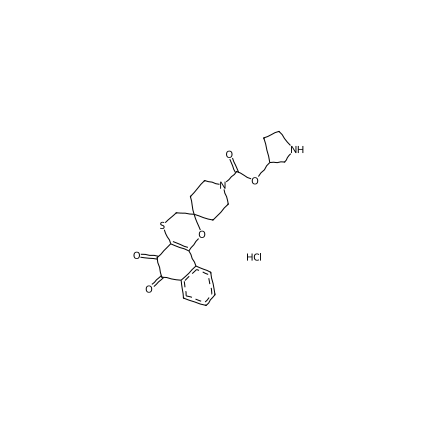 Cl.O=C1C(=O)c2ccccc2C2=C1SCC1(CCN(C(=O)OC3CCNC3)CC1)O2